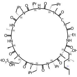 C/C=C/C[C@@H](C)[C@@H](O)[C@H]1C(=O)N[C@@H](CC)C(=O)N(C)CC(=O)N(C)[C@@H](CC(C)C)C(=O)N[C@@H](C(C)C)C(=O)N(C)[C@@H](CC(C)C)C(=O)N[C@@H](C)C(=O)N[C@H](C)C(=O)N(C)[C@@H](CC(C)C)C(=O)N(C)[C@@H](CC(C)C)C(=O)N(C)[C@@H](C(C)C)C(=O)N1C.O=S(=O)(O)O